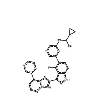 OC(Nc1cncc(-c2cnc3[nH]nc(-c4nc5c(-c6cccnc6)ccnc5[nH]4)c3c2F)c1)C1CC1